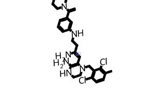 C=C(c1cccc(NCC/C(N)=C/C2=C(N)NCCN2Cc2c(Cl)ccc(C)c2Cl)c1)N1CCCCC1